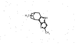 Cc1cc2[nH]c3c(c2s1)C1CCC(C3)N1C